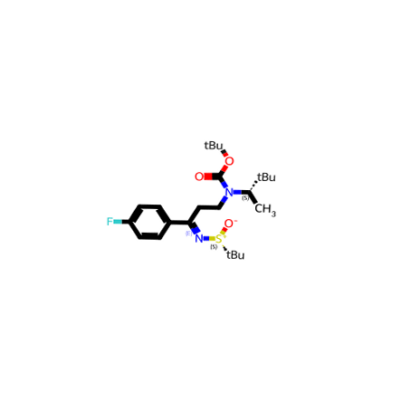 C[C@H](N(CC/C(=N\[S@+]([O-])C(C)(C)C)c1ccc(F)cc1)C(=O)OC(C)(C)C)C(C)(C)C